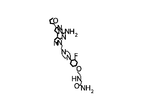 NC(=O)CNCCOc1ccc(N2CCN(CCn3ncc4c3nc(N)n3nc(-c5ccco5)cc43)CC2)c(F)c1